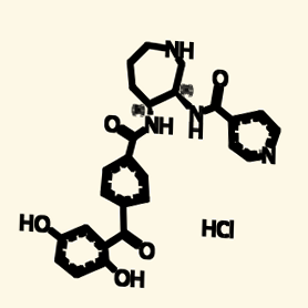 Cl.O=C(N[C@@H]1CCCNC[C@H]1NC(=O)c1ccncc1)c1ccc(C(=O)c2cc(O)ccc2O)cc1